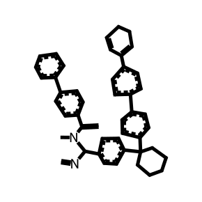 C=NC(c1ccc(C2(c3ccc(-c4ccc(C5=CCCC=C5)cc4)cc3)CCCCC2)cc1)N(C)C(=C)c1ccc(-c2ccccc2)cc1